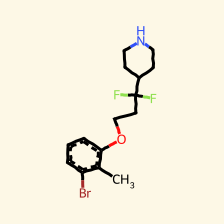 Cc1c(Br)cccc1OCCC(F)(F)C1CCNCC1